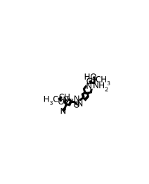 CC(C)Oc1ncc(-c2nc(-c3ccc4c(c3)CCN(C(=O)[C@@H](N)[C@@H](C)O)CC4)no2)cc1C#N